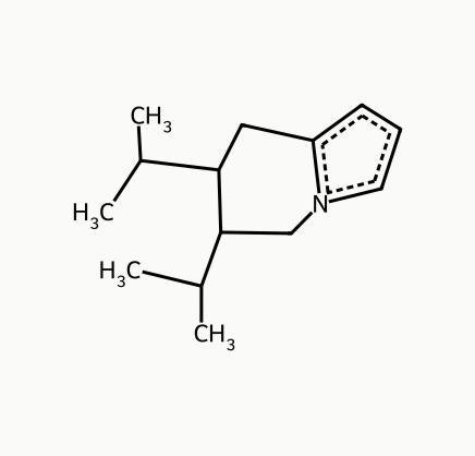 CC(C)C1Cc2cccn2CC1C(C)C